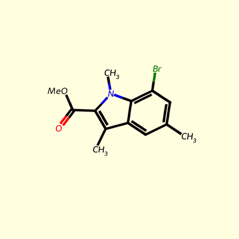 COC(=O)c1c(C)c2cc(C)cc(Br)c2n1C